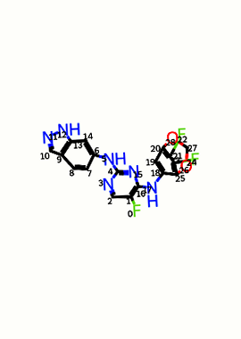 Fc1cnc(Nc2ccc3cn[nH]c3c2)nc1Nc1cc2c(F)c(F)c1OCO2